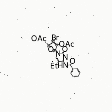 CCc1cn([C@@H]2O[C@H](COC(C)=O)[C@H](Br)[C@H]2OC(C)=O)c(=O)nc1NC(=O)c1ccccc1